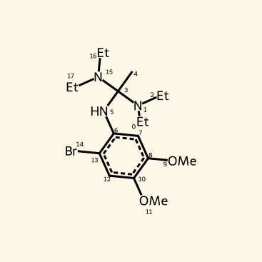 CCN(CC)C(C)(Nc1cc(OC)c(OC)cc1Br)N(CC)CC